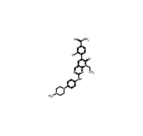 CCn1c(=O)c(-c2ccc(C(=N)N)cc2Cl)cc2cnc(Nc3ccc(N4CCN(C)CC4)cc3)nc21